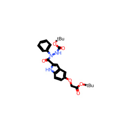 CC(C)(C)OC(=O)COc1ccc2[nH]c(C(=O)N(NC(=O)OC(C)(C)C)c3ccccc3)cc2c1